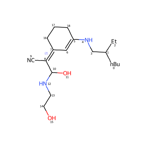 CCCCC(CC)CNC1=C/C(=C(/C#N)C(O)NCCO)CCC1